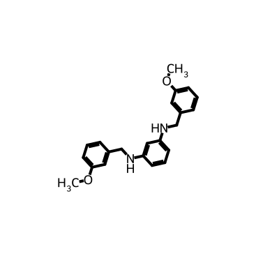 COc1cccc(CNc2cccc(NCc3cccc(OC)c3)c2)c1